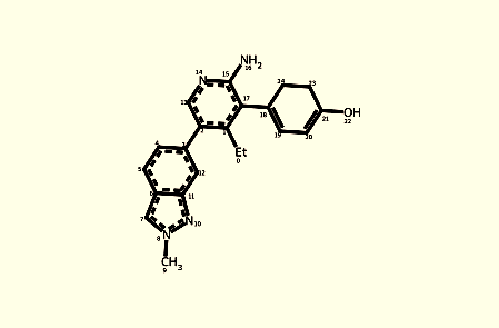 CCc1c(-c2ccc3cn(C)nc3c2)cnc(N)c1C1=CC=C(O)CC1